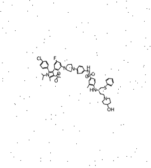 Cc1cc(S(=O)(=O)Nc2ccc(N3CCN(c4cc(F)cc(-c5c(S(C)(=O)=O)c(C)n(C(C)C)c5-c5ccc(Cl)cc5)c4)CC3)cc2)ccc1N[C@H](CCN1CCC(O)CC1)CSc1ccccc1